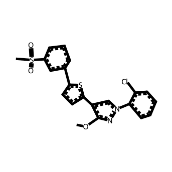 COc1nn(-c2ccccc2Cl)cc1-c1ccc(-c2cccc(S(C)(=O)=O)c2)s1